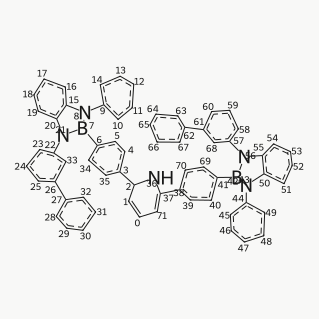 C1=CC(c2ccc(B3N(c4ccccc4)c4ccccc4N3c3cccc(-c4ccccc4)c3)cc2)NC(c2ccc(B3N(c4ccccc4)c4ccccc4N3c3cccc(-c4ccccc4)c3)cc2)=C1